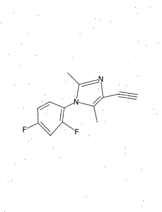 C#Cc1nc(C)n(-c2ccc(F)cc2F)c1C